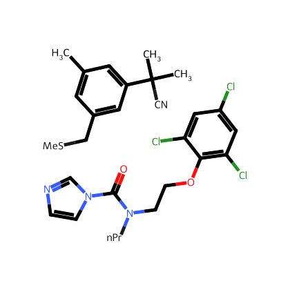 CCCN(CCOc1c(Cl)cc(Cl)cc1Cl)C(=O)n1ccnc1.CSCc1cc(C)cc(C(C)(C)C#N)c1